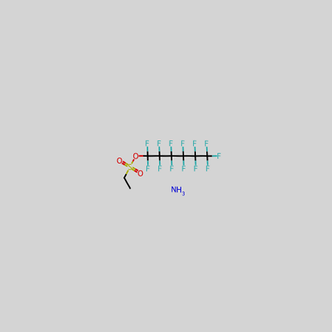 CCS(=O)(=O)OC(F)(F)C(F)(F)C(F)(F)C(F)(F)C(F)(F)C(F)(F)F.N